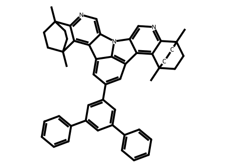 CC12CCC(C)(CC1)c1c2ncc2c1c1cc(-c3cc(-c4ccccc4)cc(-c4ccccc4)c3)cc3c4c5c(ncc4n2c13)C1(C)CCC5(C)CC1